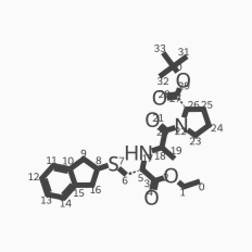 CCOC(=O)[C@H](CSC1Cc2ccccc2C1)NC(C)C(=O)N1CCC[C@H]1C(=O)OC(C)(C)C